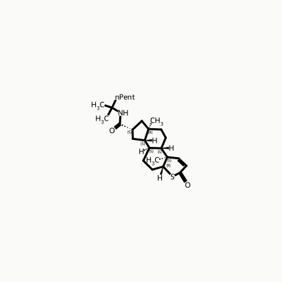 CCCCCC(C)(C)NC(=O)[C@H]1C[C@H]2[C@@H]3CC[C@H]4SC(=O)C=C[C@]4(C)[C@H]3CC[C@]2(C)C1